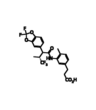 Cc1ccc(CCC(=O)O)cc1NC(=O)C(c1ccc2c(c1)OC(F)(F)O2)[C@@H](C)C(F)(F)F